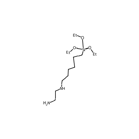 CCO[Si](CCCCCCNCCN)(OCC)OCC